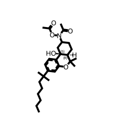 CCCCCCC(C)(C)c1ccc2c(c1)OC(C)(C)[C@@H]1CCC(N(OC(C)=O)C(C)=O)C[C@@]21O